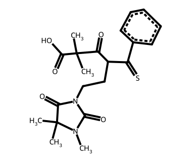 CN1C(=O)N(CCC(C(=O)C(C)(C)C(=O)O)C(=S)c2ccccc2)C(=O)C1(C)C